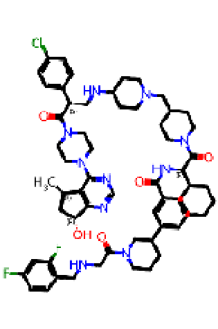 C[C@@H]1C[C@@H](O)c2ncnc(N3CCN(C(=O)[C@H](CNC4CCN(CC5CCN(C(=O)[C@H](NC(=O)c6cccc(C7CCCN(C(=O)CNCc8ccc(F)cc8F)C7)c6)C6CCCCC6)CC5)CC4)c4ccc(Cl)cc4)CC3)c21